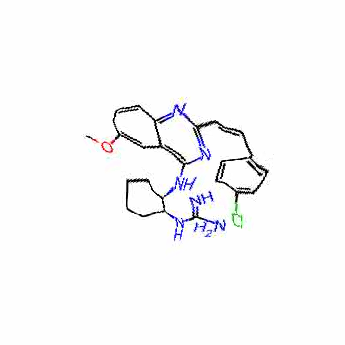 COc1ccc2nc(/C=C\c3ccc(Cl)cc3)nc(N[C@@H]3CCCC[C@@H]3NC(=N)N)c2c1